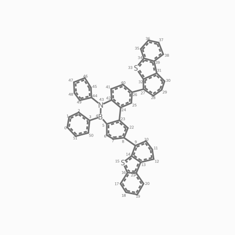 c1ccc(B2c3ccc(-c4cccc5c4sc4ccccc45)cc3-c3cc(-c4cccc5c4sc4ccccc45)ccc3N2c2ccccc2)cc1